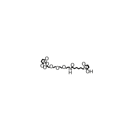 O=C(CCCCCN1C(=O)C=CC1O)NCCOCCOCCOCC(=O)ON1C(=O)CCC1=O